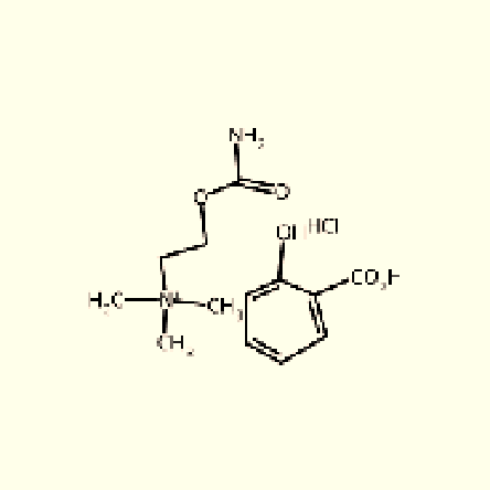 C[N+](C)(C)CCOC(N)=O.Cl.O=C(O)c1ccccc1O